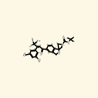 CC(C)(C)OC(=O)N1CC2(C1)OCc1cc(C(=O)/C=C(\c3cc(Cl)cc(Cl)c3)C(F)(F)F)ccc12